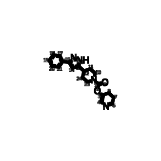 O=C(OC1=CN=CCC1)N1CCC(c2cc(-c3ccccc3)n[nH]2)CC1